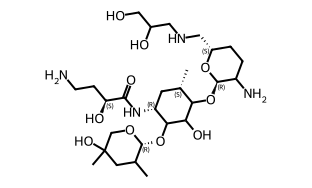 CC1CC(C)(O)CO[C@@H]1OC1C(O)C(O[C@H]2O[C@H](CNCC(O)CO)CCC2N)[C@@H](C)C[C@H]1NC(=O)[C@@H](O)CCN